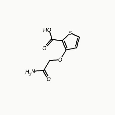 NC(=O)COc1ccsc1C(=O)O